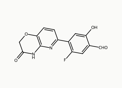 O=Cc1cc(F)c(-c2ccc3c(n2)NC(=O)CO3)cc1O